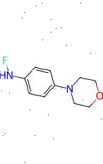 FNc1ccc(N2CCOCC2)cc1